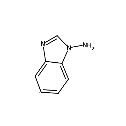 Nn1cnc2c[c]ccc21